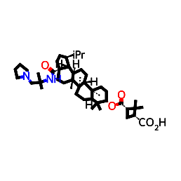 CC(C)[C@@H]1CC[C@]2(C(=O)NC(C)(C)CN3CCCC3)CC[C@]3(C)[C@H](CC[C@@H]4[C@@]5(C)CC[C@H](OC(=O)[C@H]6C[C@@H](C(=O)O)C6(C)C)C(C)(C)[C@@H]5CC[C@]43C)[C@@H]12